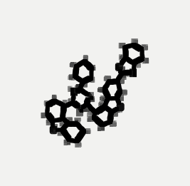 c1ccc(-c2nc(-c3cccc4oc5ccccc5c34)nc(-c3cccc4oc5cc(-c6nc7ccccc7o6)ccc5c34)n2)cc1